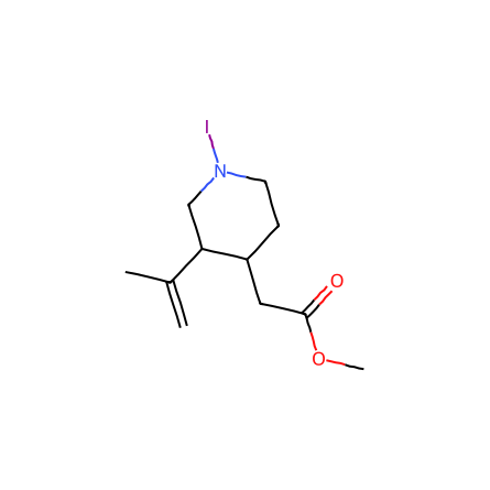 C=C(C)C1CN(I)CCC1CC(=O)OC